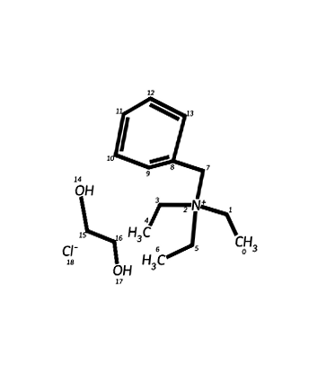 CC[N+](CC)(CC)Cc1ccccc1.OCCO.[Cl-]